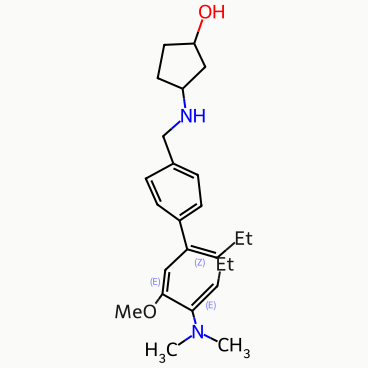 CC/C=C(/C=C(OC)\C(=C/CC)N(C)C)c1ccc(CNC2CCC(O)C2)cc1